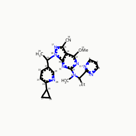 CCC(c1ncccn1)N(C)c1nc(OC)c2c(C#N)nn(C(C)c3ccc(C4CC4)nc3)c2n1